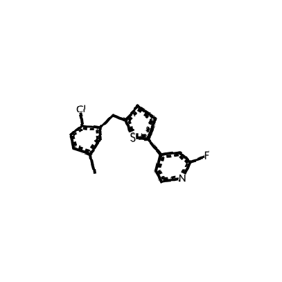 Cc1ccc(Cl)c(Cc2ccc(-c3ccnc(F)c3)s2)c1